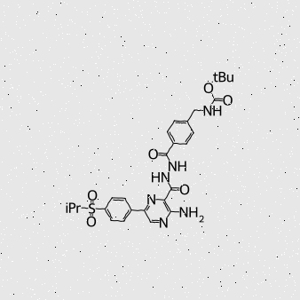 CC(C)S(=O)(=O)c1ccc(-c2cnc(N)c(C(=O)NNC(=O)c3ccc(CNC(=O)OC(C)(C)C)cc3)n2)cc1